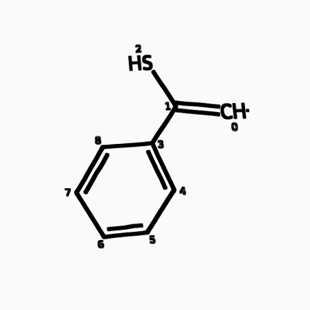 [CH]=C(S)c1ccccc1